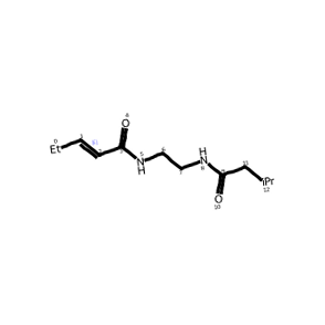 CC/C=C/C(=O)NCCNC(=O)CC(C)C